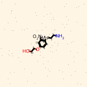 NCC[AsH]c1ccc(OCCO)cc1[N+](=O)[O-]